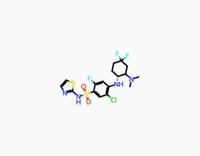 CN(C)C1CC(F)(F)CC[C@H]1Nc1cc(F)c(S(=O)(=O)Nc2nccs2)cc1Cl